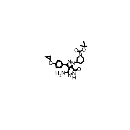 CC(C)(C)OC(=O)N1CCCC(n2nc(-c3ccc(OC4CC4)cc3)c3c(N)n[nH]c(=O)c32)C1